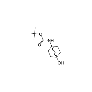 CC(C)(C)OC(=O)NC12CCC(O)(CC1)CC2